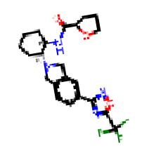 O=C(N[C@@H]1CCCC[C@H]1N1Cc2ccc(-c3noc(C(F)(F)F)n3)cc2C1)C1CCCO1